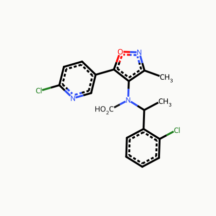 Cc1noc(-c2ccc(Cl)nc2)c1N(C(=O)O)C(C)c1ccccc1Cl